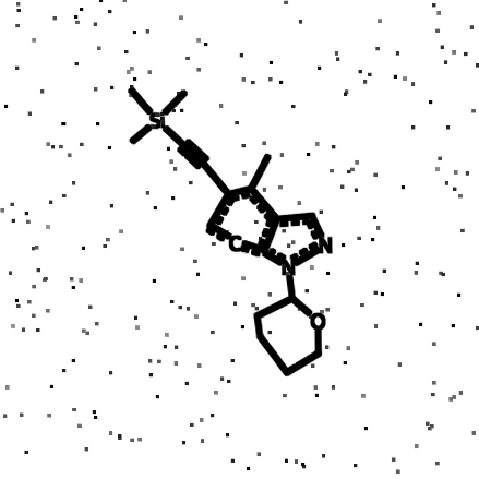 Cc1c(C#C[Si](C)(C)C)ccc2c1cnn2C1CCCCO1